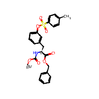 Cc1ccc(S(=O)(=O)Oc2cccc(C[C@H](NC(=O)OC(C)(C)C)C(=O)OCc3ccccc3)c2)cc1